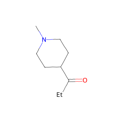 CCC(=O)C1CCN(C)CC1